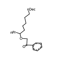 CCCCCCCCCCCCCCCC(CCC)OCC(=O)c1ccccc1